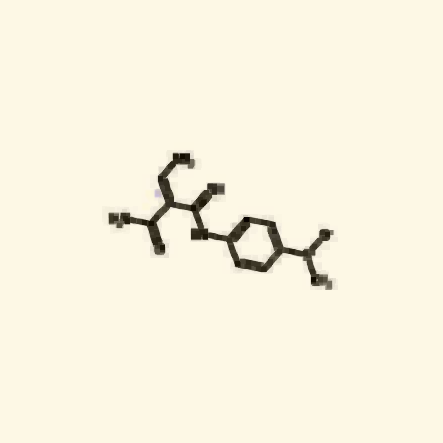 C[S+]([O-])c1ccc(NC(=N)/C(=C\N)C(N)=O)cc1